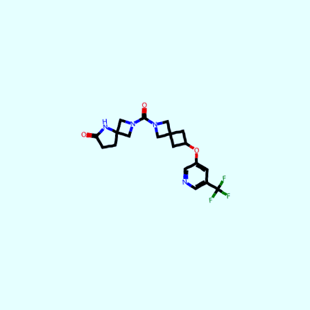 O=C1CCC2(CN(C(=O)N3CC4(CC(Oc5cncc(C(F)(F)F)c5)C4)C3)C2)N1